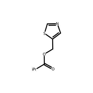 CC(C)C(=O)OCc1cncs1